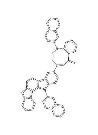 C=C1/C=C(c2ccc3c(c2)c2ccc4sc5ccccc5c4c2n3-c2ccc3ccccc3c2)\C=C/N(c2ccc3ccccc3c2)c2ccccc21